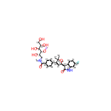 CN(C[C@H](O)[C@@H](OI)[C@@H](O)[C@H](O)CO)C(=O)c1ccc(C2=C/C(=C3\C(=O)Nc4cc(F)ccc43)OC2(C)C)cc1